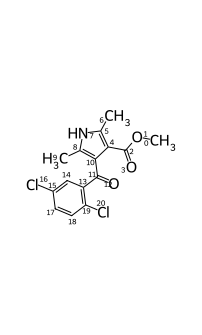 COC(=O)c1c(C)[nH]c(C)c1C(=O)c1cc(Cl)ccc1Cl